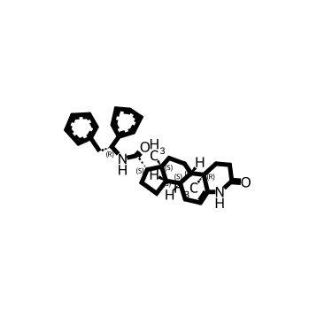 C[C@]12CC[C@H]3[C@@H](CC=C4NC(=O)CC[C@@]43C)[C@@H]1CC[C@@H]2C(=O)N[C@H](Cc1ccccc1)c1ccccc1